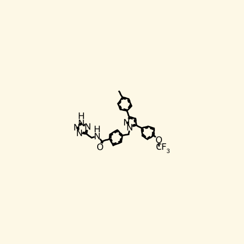 Cc1ccc(-c2cc(-c3ccc(OC(F)(F)F)cc3)n(Cc3ccc(C(=O)NCc4nn[nH]n4)cc3)n2)cc1